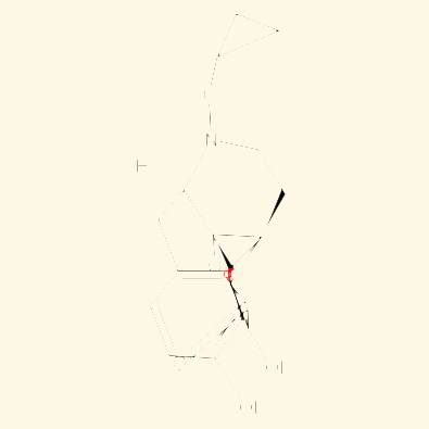 O=C1O[C@@]23CCC1(O)C[C@@]21CCN(CC2CC2)[C@@H]3Cc2ccc(O)cc21